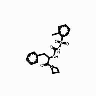 Cc1ccccc1S(=O)(=O)NC(=O)NC(Cc1ccccc1)C(=O)N1CCC1